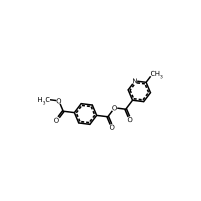 COC(=O)c1ccc(C(=O)OC(=O)c2ccc(C)nc2)cc1